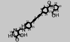 O=C(c1ccc(C#CC#Cc2ccc(NCc3nc[nH]c(=O)c3O)cc2)cc1)N1CCC[C@H]1CO